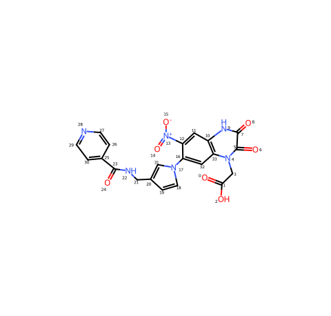 O=C(O)Cn1c(=O)c(=O)[nH]c2cc([N+](=O)[O-])c(-n3ccc(CNC(=O)c4ccncc4)c3)cc21